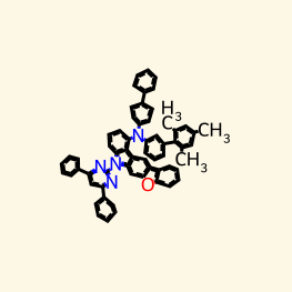 Cc1cc(C)c(-c2cccc(N(c3ccc(-c4ccccc4)cc3)c3cccc4c3c3cc5c(cc3n4-c3nc(-c4ccccc4)cc(-c4ccccc4)n3)oc3ccccc35)c2)c(C)c1